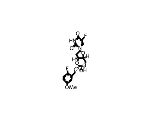 COc1ccc(F)c(CO[PH]2(O)OC[C@H]3O[C@@H](n4cc(F)c(=O)[nH]c4=O)C[C@@H]3O2)c1